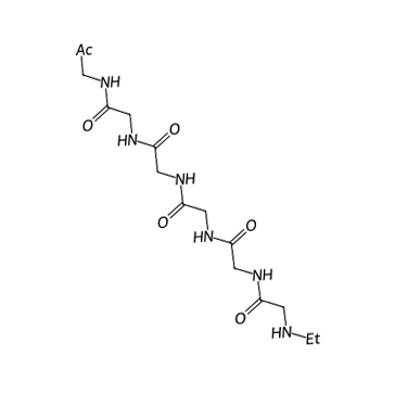 CCNCC(=O)NCC(=O)NCC(=O)NCC(=O)NCC(=O)NCC(C)=O